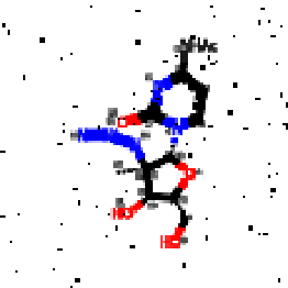 CC(=O)Nc1ccn([C@@H]2O[C@H](CO)[C@@H](O)[C@@]2(C)N=[N+]=[N-])c(=O)n1